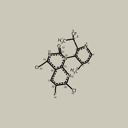 Cc1ccnc([C@@H](C)C(F)(F)F)c1-n1c(=O)nc(Cl)c2cc(F)c(Cl)nc21